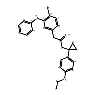 CCOc1ccc(C2(CC(=O)Cc3ccc(F)c(Oc4ccccc4)c3)CC2)cc1